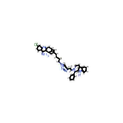 Nc1c2c(nc3cc(Cl)ccc13)CC1C=C(CCCCn3cc(CCN4CCc5c([nH]c6ccccc56)C4c4ccccc4)nn3)CC2C1